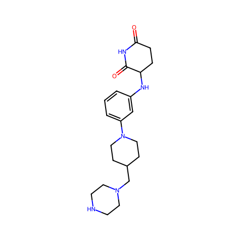 O=C1CCC(Nc2cccc(N3CCC(CN4CCNCC4)CC3)c2)C(=O)N1